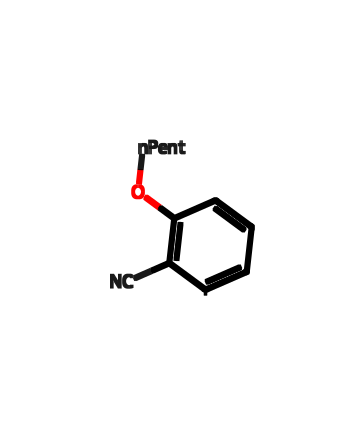 CCCCCOc1ccc[c]c1C#N